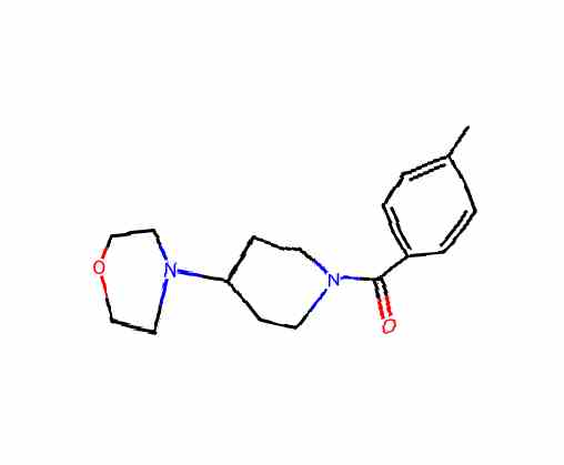 Cc1ccc(C(=O)N2CCC(N3CCOCC3)CC2)cc1